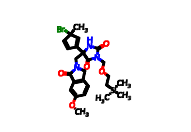 COc1ccc2c(c1)C(=O)N(CC1(C3=CC(C)(Br)C=C3)NC(=O)N(COCC[Si](C)(C)C)C1=O)C2